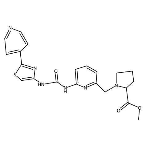 COC(=O)C1CCCN1Cc1cccc(NC(=O)Nc2csc(-c3ccncc3)n2)n1